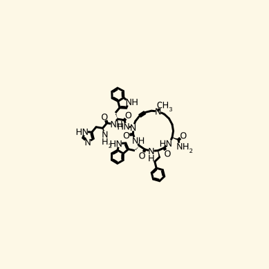 CN1CC#CCN(NC(=O)[C@@H](Cc2c[nH]c3ccccc23)NC(=O)[C@@H](N)Cc2cnc[nH]2)C(=O)N[C@@H](Cc2c[nH]c3ccccc23)C(=O)N[C@H](CCc2ccccc2)C(=O)N[C@H](C(N)=O)CCCC1